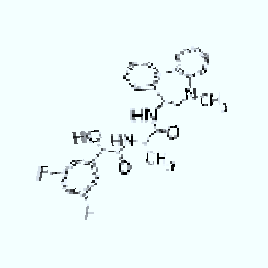 C[C@H](NC(=O)[C@@H](O)c1cc(F)cc(F)c1)C(=O)N[C@@H]1CN(C)c2ccccc2-c2ccccc21